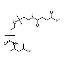 CC(CC(C)C(C)C)NC(=O)C(C)(C)CCOC(C)(C)CCNC(=O)CCC(=O)C(C)C